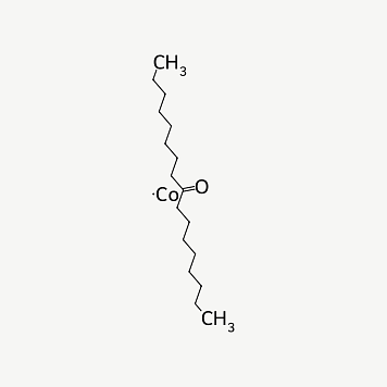 CCCCCCCCC(=O)CCCCCCCC.[Co]